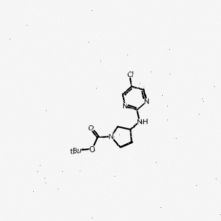 CC(C)(C)OC(=O)N1CCC(Nc2ncc(Cl)cn2)C1